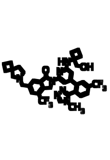 Cn1cnnc1-c1ccc(C(F)(F)F)cc1-c1cc(NC2(CO)CCC2)nc(N2Cc3c(cc(CN4CCC5(CCC5)C4)cc3C(F)(F)F)C2=O)c1